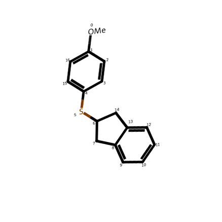 COc1ccc(SC2Cc3ccccc3C2)cc1